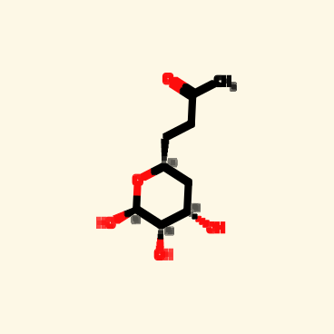 CC(=O)CC[C@@H]1C[C@H](O)[C@H](O)[C@@H](O)O1